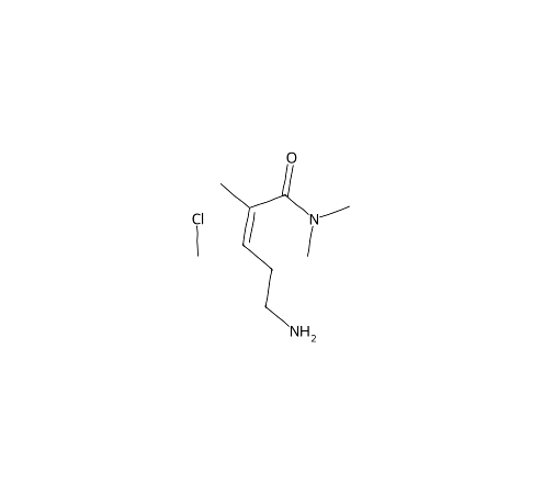 CC(=CCCN)C(=O)N(C)C.CCl